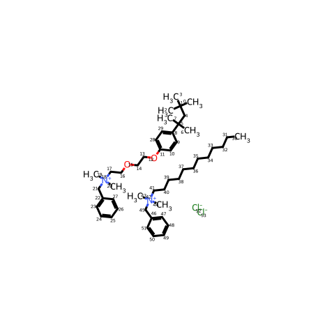 CC(C)(C)CC(C)(C)c1ccc(OCCOCC[N+](C)(C)Cc2ccccc2)cc1.CCCCCCCCCCCC[N+](C)(C)Cc1ccccc1.[Cl-].[Cl-]